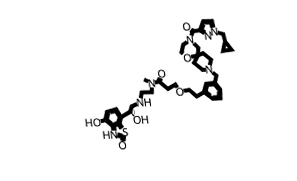 CN(CCNC[C@H](O)c1ccc(O)c2[nH]c(=O)sc12)C(=O)CCOCCc1cccc(CN2CCC3(CC2)CN(C(=O)c2ccn(CC4CC4)n2)CCO3)c1